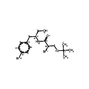 CC(C)(C)OC[C@@H](Br)C(=O)N[C@H](CO)Cc1ccc(Br)cc1